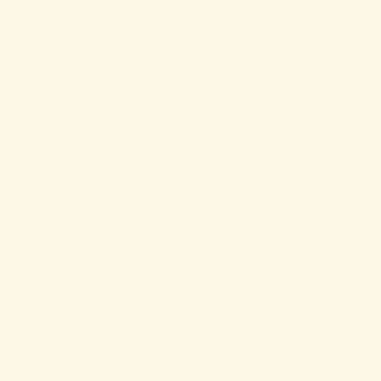 [CH2]/C=C/CCCCC(CC)CCCC[CH2]